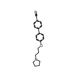 N#Cc1ccc(-c2ccc(OCCCN3[CH]CCC3)cc2)cc1